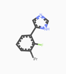 CC(C)c1[c]ccc(-c2cnc[nH]2)c1F